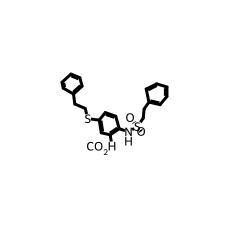 O=C(O)c1cc(SCCc2ccccc2)ccc1NS(=O)(=O)CCc1ccccc1